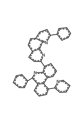 c1ccc(-c2ccc3ccc4ccc(-c5cccc6c5nc(-c5ccccc5)c5cccc(-c7ccccn7)c56)nc4c3n2)cc1